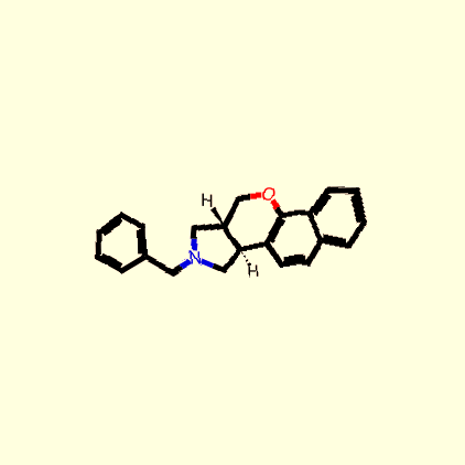 c1ccc(CN2C[C@@H]3COc4c(ccc5ccccc45)[C@H]3C2)cc1